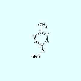 CCC[P]c1ccc(C)cc1